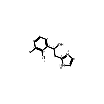 Cc1cccc(C(O)Cc2ncc[nH]2)c1Cl